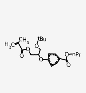 C=C(C)C(=O)OCC(COC(C)(C)C)Oc1ccc(C(=O)OCCC)cc1